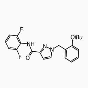 CC(C)COc1ccccc1Cn1ccc(C(=O)Nc2c(F)cccc2F)n1